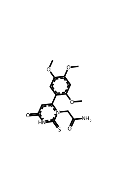 COc1cc(OC)c(-c2cc(=O)[nH]c(=S)n2CC(N)=O)cc1OC